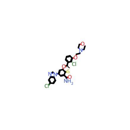 C[C@@H](OC1C=C(n2cnc3cc(Cl)ccc32)C=C(C(N)=O)C1=S)c1cccc(OCCN2CCOCC2)c1Cl